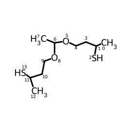 CC(S)CCOC(C)OCCC(C)S